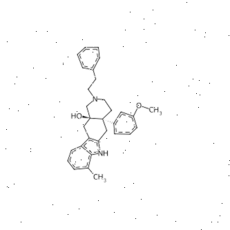 COc1cccc([C@@]23CCN(CCc4ccccc4)C[C@@]2(O)Cc2c([nH]c4c(C)cccc24)C3)c1